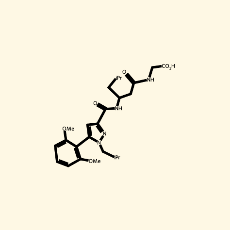 COc1cccc(OC)c1-c1cc(C(=O)NC(CC(=O)NCC(=O)O)CC(C)C)nn1CC(C)C